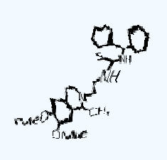 COc1cc2c(cc1OC)C(C)N(CCNC(=S)NC(c1ccccc1)c1ccccc1)CC2